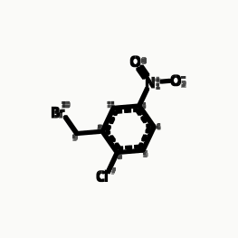 O=[N+]([O-])c1ccc(Cl)c(CBr)c1